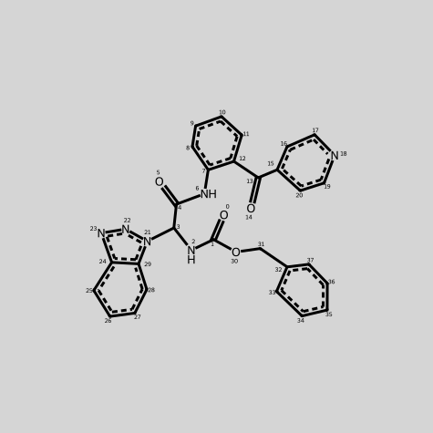 O=C(NC(C(=O)Nc1ccccc1C(=O)c1ccncc1)n1nnc2ccccc21)OCc1ccccc1